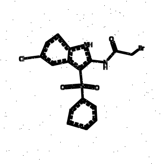 O=C(CBr)Nc1[nH]c2ccc(Cl)cc2c1S(=O)(=O)c1ccccc1